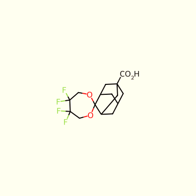 O=C(O)C12CC3CC(C1)C1(OCC(F)(F)C(F)(F)CO1)C(C3)C2